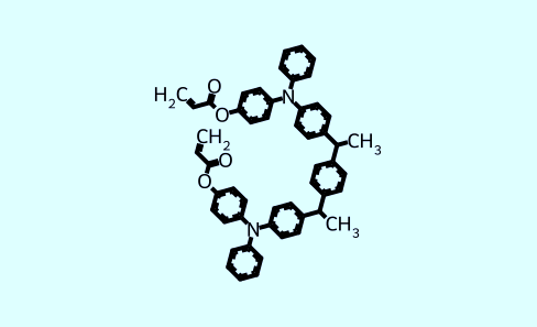 C=CC(=O)Oc1ccc(N(c2ccccc2)c2ccc(C(C)c3ccc(C(C)c4ccc(N(c5ccccc5)c5ccc(OC(=O)C=C)cc5)cc4)cc3)cc2)cc1